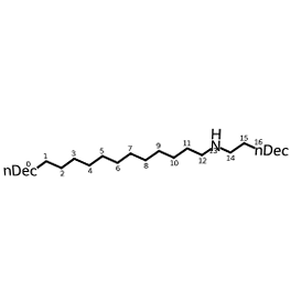 CCCCCCCCCCCCCCCCCCCCCCNCCCCCCCCCCCC